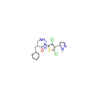 Cn1nccc1-c1c(Cl)sc(NC(=O)C(CN)Cc2ccccc2)c1Cl